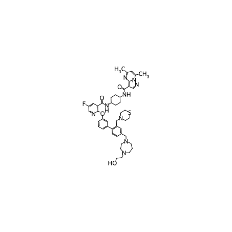 Cc1cc(C)n2ncc(C(=O)NC3CCC(NC(=O)c4cc(F)cnc4Oc4cccc(-c5ccc(CN6CCCN(CCO)CC6)cc5CN5CCSCC5)c4)CC3)c2n1